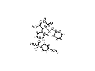 Cc1ccc(S(=O)(=O)O)cc1.O=C(O)CC(C(=O)O)N(Cc1ccccc1)Cc1ccccc1